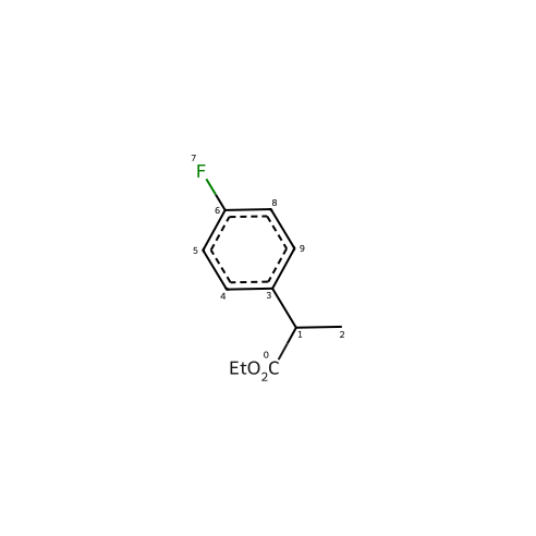 CCOC(=O)C(C)c1ccc(F)cc1